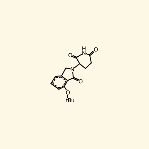 CC(C)(C)Oc1cccc2c1C(=O)N(C1CCC(=O)NC1=O)C2